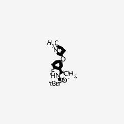 Cc1ccc(Oc2ccc(F)c([C@H](C)N[S@+]([O-])C(C)(C)C)c2)cn1